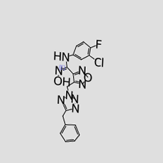 O/N=C(/Nc1ccc(F)c(Cl)c1)c1nonc1Cn1nnc(Cc2ccccc2)n1